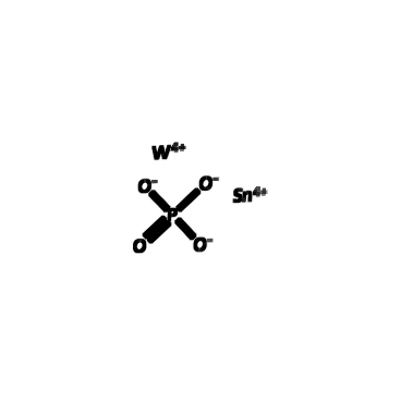 O=P([O-])([O-])[O-].[Sn+4].[W+4]